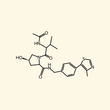 CC(=O)NC(C(=O)N1C[C@H](O)CC1C(=O)NCc1ccc(-c2scnc2C)cc1)C(C)C